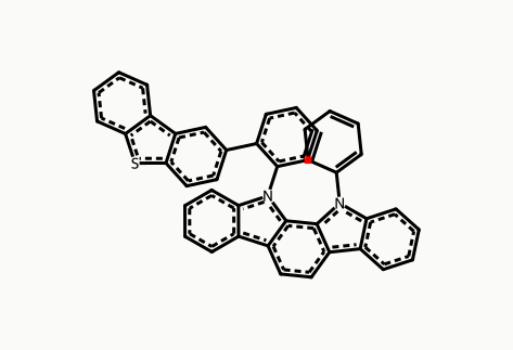 c1ccc(-c2ccc3sc4ccccc4c3c2)c(-n2c3ccccc3c3ccc4c5ccccc5n(C5=CC=CCC5)c4c32)c#1